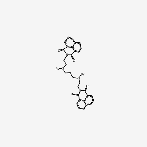 CC(=O)N(CCCN(CCN1C(=O)c2cccc3cccc(c23)C1=O)C(C)C)CCN1C(=O)c2cccc3cccc(c23)C1=O